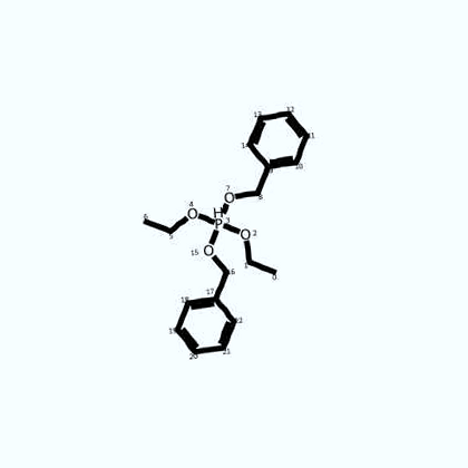 CCO[PH](OCC)(OCc1ccccc1)OCc1ccccc1